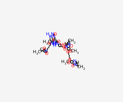 C=C1C[C@H]2C=Nc3cc(OCCCCCOc4cc5c(cc4OC)C(=O)N4CC(=C)C[C@H]4[C@H](O)N5C(=O)OCc4ccc(NC(=O)[C@H](CCCNC(N)=O)NC(=O)[C@@H](NC(=O)CCCCCN5C(=O)C=C([C@@H](C)CC)C5=O)C(C)C)cc4)c(OC)cc3C(=O)N2C1